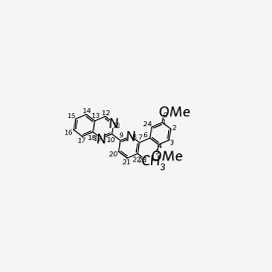 COc1ccc(OC)c(-c2nc(-c3ncc4ccccc4n3)ccc2C)c1